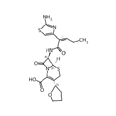 CC/C=C(\C(=O)N[C@@H]1C(=O)N2C(C(=O)O)=C([C@@H]3CCCO3)CS[C@H]12)c1csc(N)n1